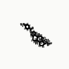 C[C@]12CCC(OC(=O)c3ccc([N+](=O)[O-])cc3)CC1=CC[C@@H]1[C@H]2CC[C@]2(C)C(=NO)CC[C@@H]12